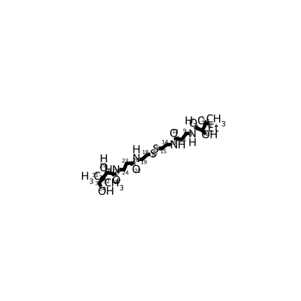 CCC(C)(C)C(O)C(=O)NCCC(=O)NCCSSCCNC(=O)CCNC(=O)C(O)C(C)(C)CO